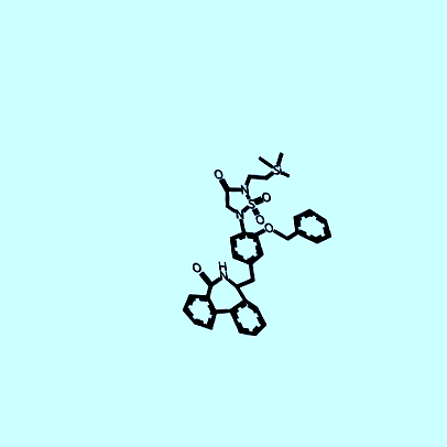 C[Si](C)(C)CCN1C(=O)CN(c2ccc(CC3NC(=O)c4ccccc4-c4ccccc43)cc2OCc2ccccc2)S1(=O)=O